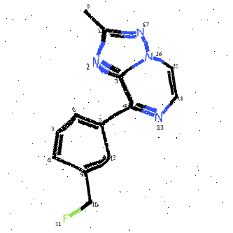 Cc1nc2c(-c3cccc(CF)c3)nccn2n1